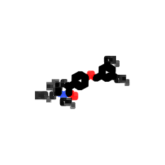 Cc1cc(C)cc(COc2ccc(C(C)C(=O)N(C)[C@H](C)C(=O)O)cc2)c1